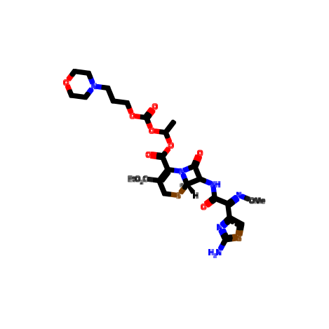 CCOC(=O)C1=C(C(=O)OC(C)OC(=O)OCCCN2CCOCC2)N2C(=O)C(NC(=O)C(=NOC)c3csc(N)n3)[C@@H]2SC1